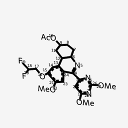 COc1cc(C2=NC3CCC(OC(C)=O)CC3c3cc(OCC(F)F)c(OC)cc32)nc(OC)n1